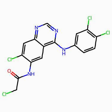 O=C(CCl)Nc1cc2c(Nc3ccc(Cl)c(Cl)c3)ncnc2cc1Cl